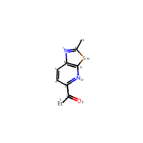 CCC(=O)c1ccc2nc(C)sc2n1